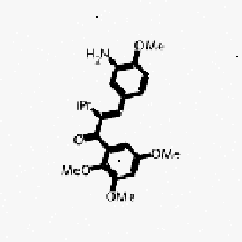 COc1cc(OC)c(OC)c(C(=O)C(=Cc2ccc(OC)c(N)c2)C(C)C)c1